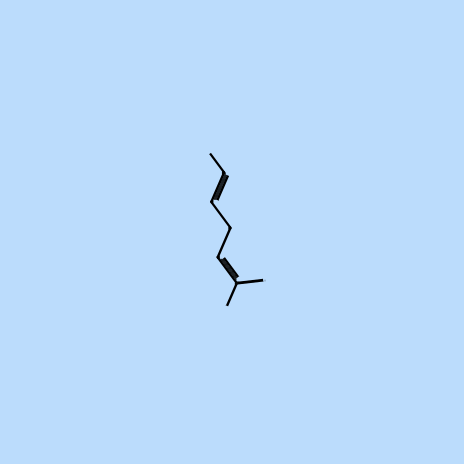 CC(C)=CCC=CC(=O)O